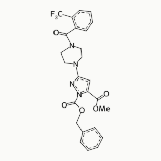 COC(=O)c1cc(N2CCN(C(=O)c3ccccc3C(F)(F)F)CC2)nn1C(=O)OCc1ccccc1